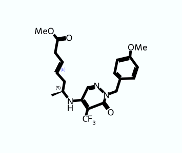 COC(=O)C/C=C/C[C@H](C)Nc1cnn(Cc2ccc(OC)cc2)c(=O)c1C(F)(F)F